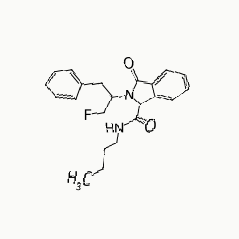 CCCCNC(=O)C1c2ccccc2C(=O)N1C(CF)Cc1ccccc1